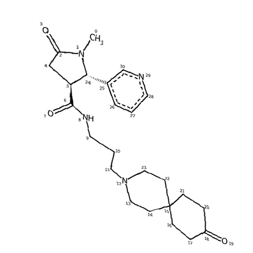 CN1C(=O)C[C@H](C(=O)NCCCN2CCC3(CCC(=O)CC3)CC2)[C@H]1c1cccnc1